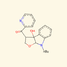 CCCCN1c2ccccc2C2(O)C(C(=O)c3ccccn3)COC12